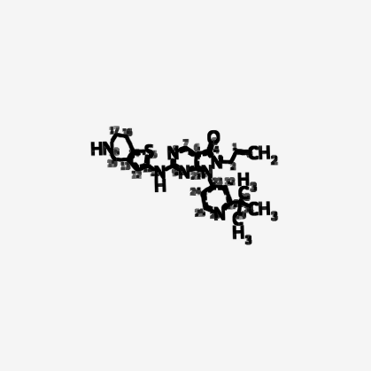 C=CCn1c(=O)c2cnc(Nc3cc4c(s3)CCNC4)nc2n1-c1ccnc(C(C)(C)C)c1